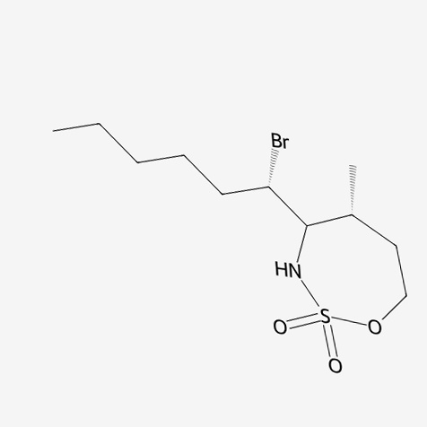 CCCCC[C@H](Br)C1NS(=O)(=O)OCC[C@H]1C